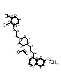 COc1ccc2nccc(CCC[C@@H]3CCN(CCSc4cccc(Cl)c4Cl)C[C@@H]3C(=O)O)c2c1